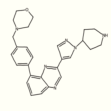 c1cc(-c2ccc(CN3CCOCC3)cc2)c2nc(-c3cnn(C4CCNCC4)c3)cnc2c1